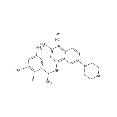 Cc1cc(NC(C)c2cc(N)cc(C)c2F)c2cc(N3CCNCC3)ccc2n1.Cl.Cl